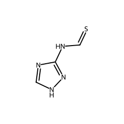 S=CNc1nc[nH]n1